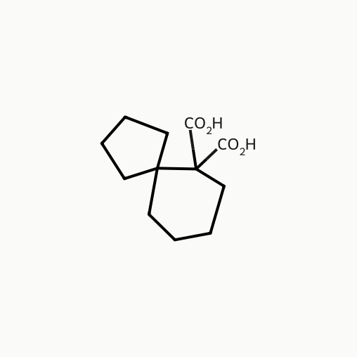 O=C(O)C1(C(=O)O)CCCCC12CCCC2